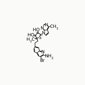 Cc1ncnc2c1ccn2[C@@H]1S[C@](C)(CCc2ccc3cc(Br)c(N)nc3c2)[C@@H](O)[C@H]1O